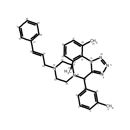 Cc1cccc(C(c2nnnn2-c2c(C)cccc2C)N2CCN(CC=Cc3ccccc3)CC2)c1